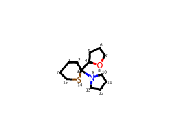 C1CCC(C2CCCO2)(N2CCCC2)SC1